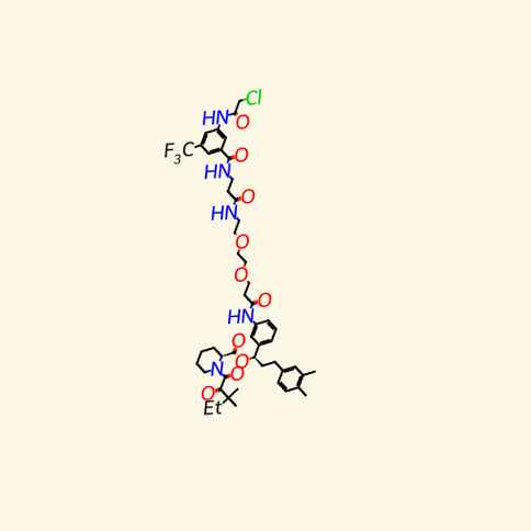 CCC(C)(C)C(=O)C(=O)N1CCCC[C@H]1C(=O)O[C@H](CCc1ccc(C)c(C)c1)c1cccc(NC(=O)CCOCCOCCNC(=O)CCNC(=O)c2cc(NC(=O)CCl)cc(C(F)(F)F)c2)c1